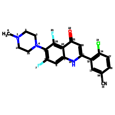 CN1CCN(c2c(F)cc3[nH]c(-c4cc(C#N)ccc4Cl)cc(=O)c3c2F)CC1